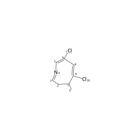 CC1C/C=N/C=C(Cl)\C=C/1Cl